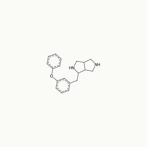 c1ccc(Oc2cccc(CC3NCC4CNCC43)c2)cc1